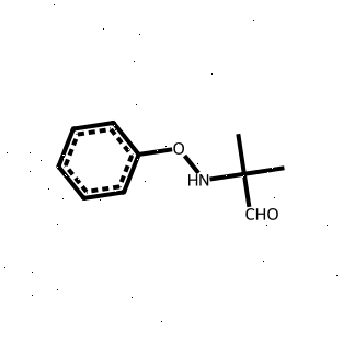 CC(C)(C=O)NOc1ccccc1